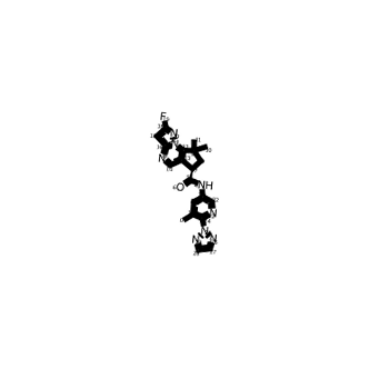 Cc1cc(NC(=O)[C@@H]2CC(C)(C)c3c2cnc2cc(F)nn32)cnc1-n1nccn1